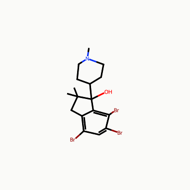 CN1CCC(C2(O)c3c(Br)c(Br)cc(Br)c3CC2(C)C)CC1